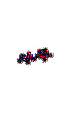 N#Cc1c(-c2ccccc2)nc(-c2cccc(-c3ccc4c(c3)c3cc5c6ccccc6n(-c6nc(-c7ccccc7)nc(-c7ccccc7)c6C#N)c5cc3n4-c3ccccc3)c2)nc1-n1c2ccccc2c2cc3c(cc21)c1ccccc1n3-c1ccccc1